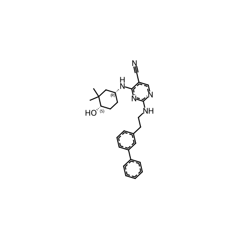 CC1(C)C[C@H](Nc2nc(NCCc3cccc(-c4ccccc4)c3)ncc2C#N)CC[C@@H]1O